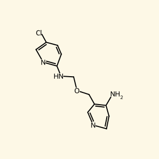 Nc1ccncc1COCNc1ccc(Cl)cn1